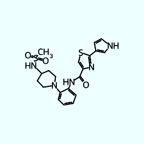 CS(=O)(=O)NC1CCN(c2ccccc2NC(=O)c2csc(-c3cc[nH]c3)n2)CC1